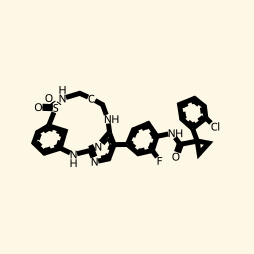 O=C(Nc1ccc(-c2cnc3nc2NCCCNS(=O)(=O)c2cccc(c2)N3)cc1F)C1(c2ccccc2Cl)CC1